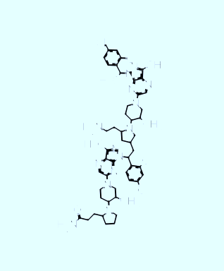 Cc1nn(C(C)c2ccc(Cl)cc2Cl)c2nc(N3CCC(N4CC(CC(c5ccc(Cl)cc5Cl)n5nc(C)c6ncc(N7CCC(N8CCCC8CCC(N)=O)C(C)C7)nc65)CC4CCN)C(C)C3)cnc12